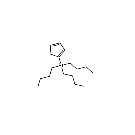 CCC[CH2][Pt]([CH2]CCC)([CH2]CCC)[C]1=CC=CC1